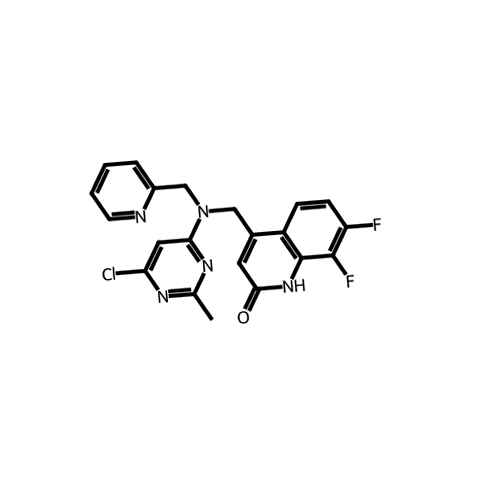 Cc1nc(Cl)cc(N(Cc2ccccn2)Cc2cc(=O)[nH]c3c(F)c(F)ccc23)n1